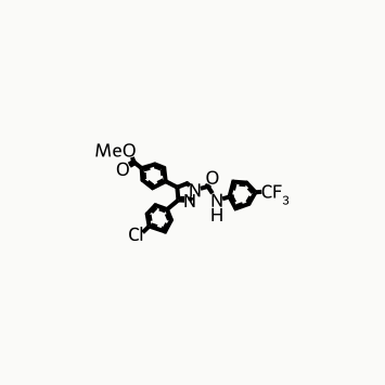 COC(=O)c1ccc(C2CN(C(=O)Nc3ccc(C(F)(F)F)cc3)N=C2c2ccc(Cl)cc2)cc1